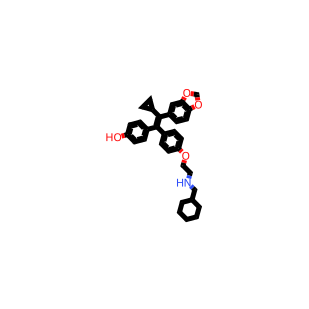 Oc1ccc(C(=C(c2ccc3c(c2)OCO3)C2CC2)c2ccc(OCCNCC3CCCCC3)cc2)cc1